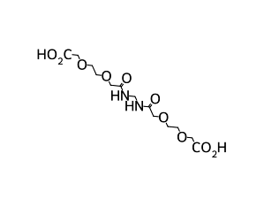 O=C(O)COCCOCC(=O)NCNC(=O)COCCOCC(=O)O